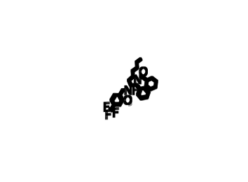 CCCCC1CC(NCc2ccc(C(F)(F)F)cc2OC)C(c2ccccc2)N1C(=O)C1CCCCC1